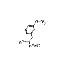 CCCCCC(CCC)Cc1cccc(OC(F)(F)F)c1